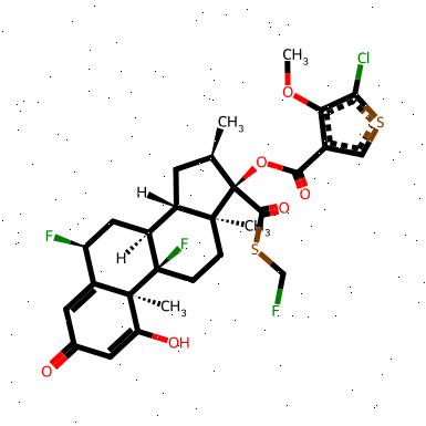 COc1c(C(=O)O[C@]2(C(=O)SCF)[C@H](C)C[C@H]3[C@@H]4C[C@H](F)C5=CC(=O)C=C(O)[C@]5(C)[C@@]4(F)CC[C@@]32C)csc1Cl